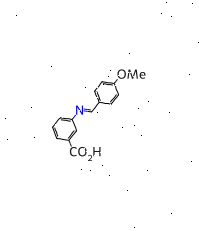 COc1ccc(C=Nc2cccc(C(=O)O)c2)cc1